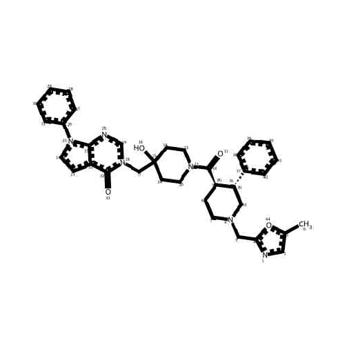 Cc1cnc(CN2CC[C@@H](C(=O)N3CCC(O)(Cn4cnc5c(ccn5-c5ccccc5)c4=O)CC3)[C@H](c3ccccc3)C2)o1